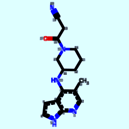 Cc1cnc2[nH]ccc2c1NC1CCCN(C(=O)CC#N)C1